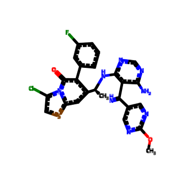 COc1ncc(C(=N)c2c(N)ncnc2N[C@@H](C)c2cc3scc(Cl)n3c(=O)c2-c2cccc(F)c2)cn1